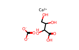 O=C(O)C(O)C(O)CO.O=C([O-])[O-].[Ca+2]